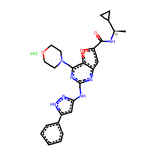 C[C@@H](NC(=O)c1cc2nc(Nc3cc(-c4ccccc4)[nH]n3)nc(N3CCOCC3)c2o1)C1CC1.Cl